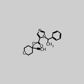 C#CC1(OC(=O)c2cncn2C(C)c2ccccc2)CCOCC1